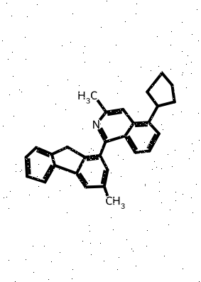 Cc1cc2c(c(-c3nc(C)cc4c(C5CCCC5)cccc34)c1)Cc1ccccc1-2